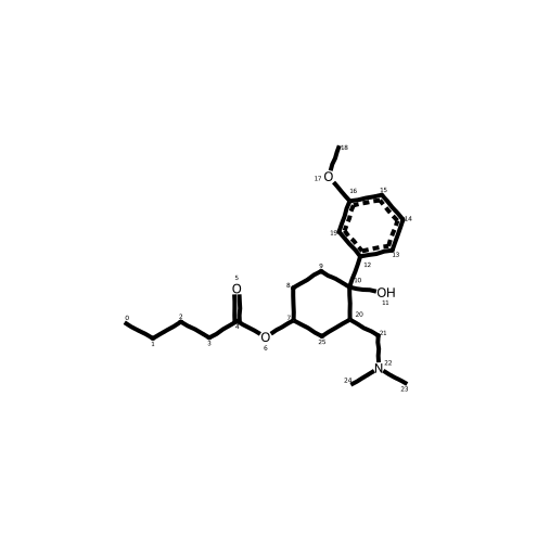 CCCCC(=O)OC1CCC(O)(c2cccc(OC)c2)C(CN(C)C)C1